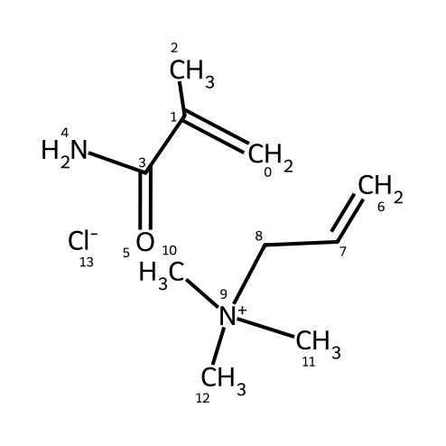 C=C(C)C(N)=O.C=CC[N+](C)(C)C.[Cl-]